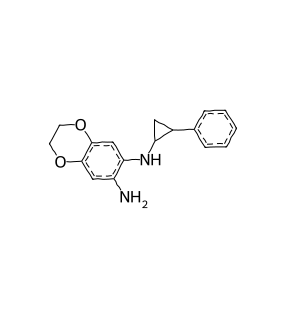 Nc1cc2c(cc1NC1CC1c1ccccc1)OCCO2